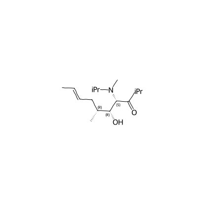 CC=CC[C@@H](C)[C@@H](O)[C@@H](C(=O)C(C)C)N(C)C(C)C